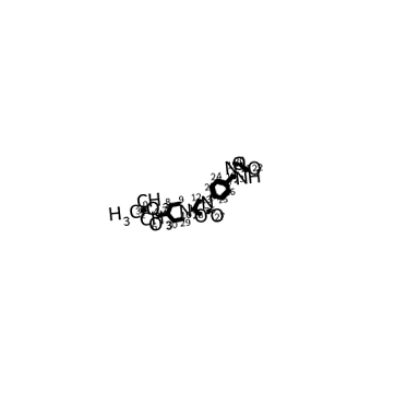 CC(C)(C)OC(=O)C1CCN(C2CN(c3ccc(-c4noc(=O)[nH]4)cc3)C(=O)O2)CC1